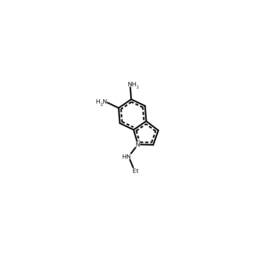 CCNn1ccc2cc(N)c(N)cc21